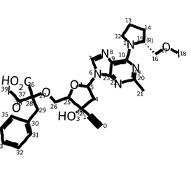 C#C[C@]1(O)CC(n2cnc3c(N4CCC[C@@H]4COI)nc(C)nc32)OC1COC(Cc1ccccc1)(C(=O)O)C(=O)I